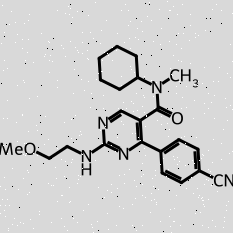 COCCNc1ncc(C(=O)N(C)C2CCCCC2)c(-c2ccc(C#N)cc2)n1